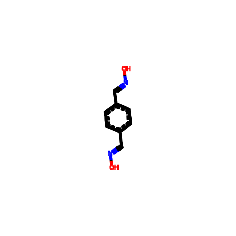 ON=Cc1ccc(C=NO)cc1